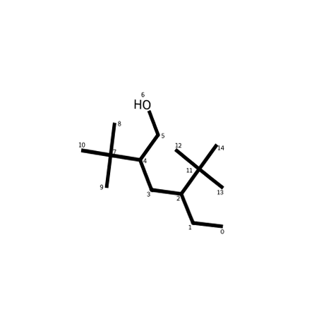 CCC(CC(CO)C(C)(C)C)C(C)(C)C